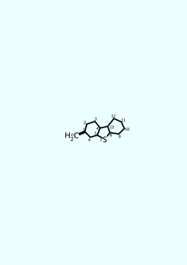 C=C1CCC2C(C1)SC1CCCCC12